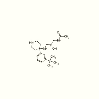 CC(=O)NC[C@H](O)CNC1(c2cccc(C(C)(C)C)c2)CCNCC1